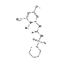 CC1=NC(NC(=O)NS(=O)(=O)C2CCCCC2)N(S)C(C)=N1